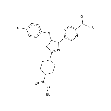 C[S+]([O-])c1ccc(C2N=C(C3CCN(C(=O)OC(C)(C)C)CC3)OC2Sc2ccc(Cl)cn2)cc1